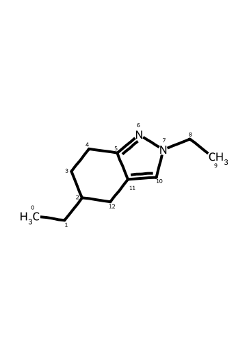 CCC1CCc2nn(CC)cc2C1